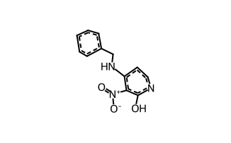 O=[N+]([O-])c1c(NCc2ccccc2)ccnc1O